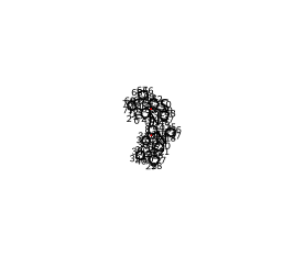 CC1(C)c2cc(N(c3cccc(N(c4ccccc4)c4cccc(C5(c6ccccc6)c6ccccc6-c6ccccc65)c4)c3)c3cccc4sc5ccccc5c34)ccc2-c2c(-c3ccccc3)cccc21